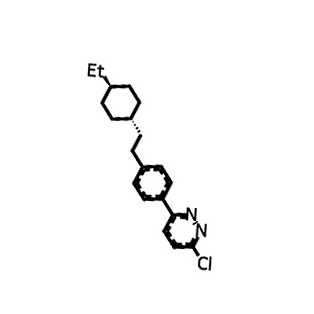 CC[C@H]1CC[C@H](CCc2ccc(-c3ccc(Cl)nn3)cc2)CC1